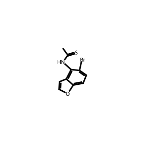 CC(=S)Nc1c(Br)ccc2occc12